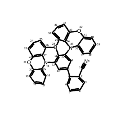 N#Cc1ccccc1-c1cc2c3c(c1)N1c4ccccc4Oc4cccc(c41)B3c1cccc3c1N2c1ccccc1O3